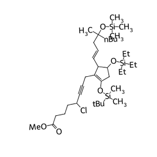 CCCCC(C)(C/C=C/C1C(CC#CC(Cl)CCCC(=O)OC)=C(O[Si](C)(C)C(C)(C)C)CC1O[Si](CC)(CC)CC)O[Si](C)(C)C